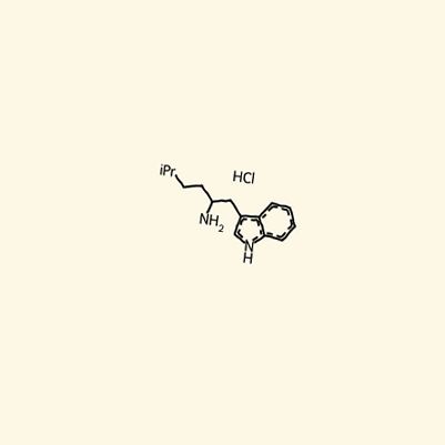 CC(C)CCC(N)Cc1c[nH]c2ccccc12.Cl